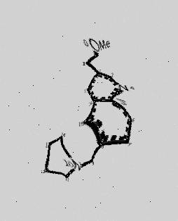 COCc1cnc2ccc(CN3CCCC3)cc2c1